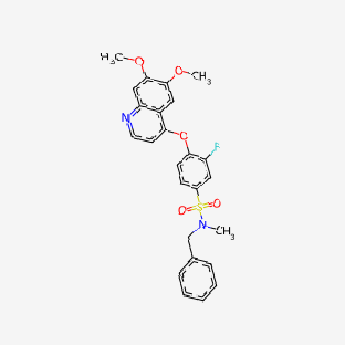 COc1cc2nccc(Oc3ccc(S(=O)(=O)N(C)Cc4ccccc4)cc3F)c2cc1OC